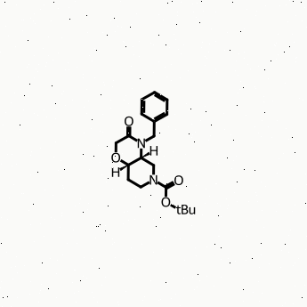 CC(C)(C)OC(=O)N1CC[C@@H]2OCC(=O)N(Cc3ccccc3)[C@@H]2C1